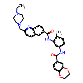 CCN1CCN(Cc2ccc3cc(C(=O)Nc4cc(NC(=O)c5ccc6c(c5)OCCO6)ccc4C)ccc3n2)CC1